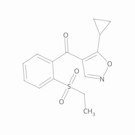 CCS(=O)(=O)c1ccccc1C(=O)c1cnoc1C1CC1